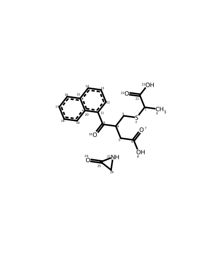 CC(SCC(CC(=O)O)C(=O)c1cccc2ccccc12)C(=O)O.O=C1CN1